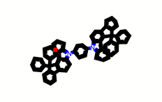 c1ccc(C2(c3ccccc3)c3ccccc3-c3ccc4c(c32)c2ccccc2n4-c2ccc(-n3c4ccccc4c4c5c(ccc43)-c3ccccc3C5(c3ccccc3)c3ccccc3)cc2)cc1